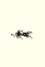 COc1ccc(/N=N/c2cc(OC)c(OC)c(OC)c2)cc1NC(=O)O